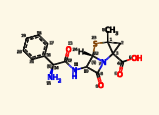 CC12CC1(C(=O)O)N1C(=O)C(NC(=O)[C@@H](N)c3ccccc3)[C@@H]1S2